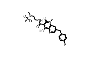 CN(CCNC(=O)c1c(O)c2ncc(Cc3ccc(F)cc3)cc2n(C)c1=O)S(C)(=O)=O